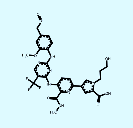 CNC(=O)c1nc(-c2cc(C(=O)O)n(CCCO)c2)ccc1Nc1nc(Nc2ccc(CP=O)cc2OC)ncc1C(F)(F)F